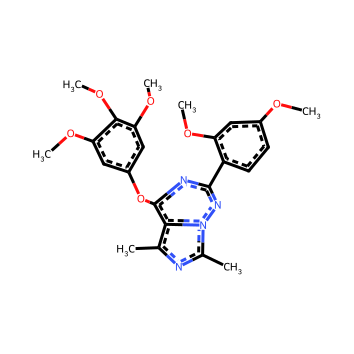 COc1ccc(-c2nc(Oc3cc(OC)c(OC)c(OC)c3)c3c(C)nc(C)n3n2)c(OC)c1